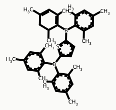 CC1=CC(C)=C(B(c2ccc(B(c3c(C)cc(C)cc3C)c3c(C)cc(C)cc3C)s2)c2c(C)cc(C)cc2C)C(C)C1